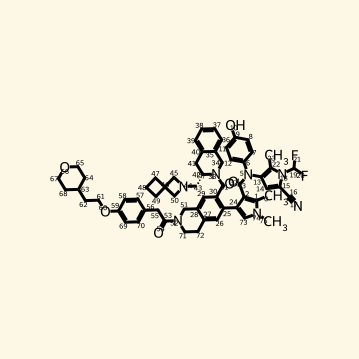 Cc1c(C(=O)N(c2ccc(O)cc2)c2cc(C#N)n(C(F)F)c2C)c(-c2cc3c(cc2C(=O)N2Cc4ccccc4C[C@H]2CN2CC4(CCC4)C2)CN(C(=O)Cc2ccc(OCCC4CCOCC4)cc2)CC3)cn1C